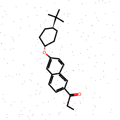 CCC(=O)c1ccc2cc(O[C@H]3CC[C@H](C(C)(C)C)CC3)ccc2c1